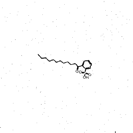 CCCCCCCCCCCC(=O)c1ccccc1S(=O)(=O)O